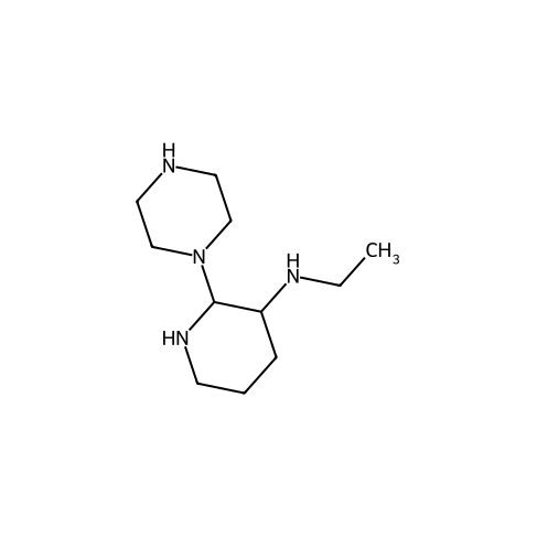 CCNC1CCCNC1N1CCNCC1